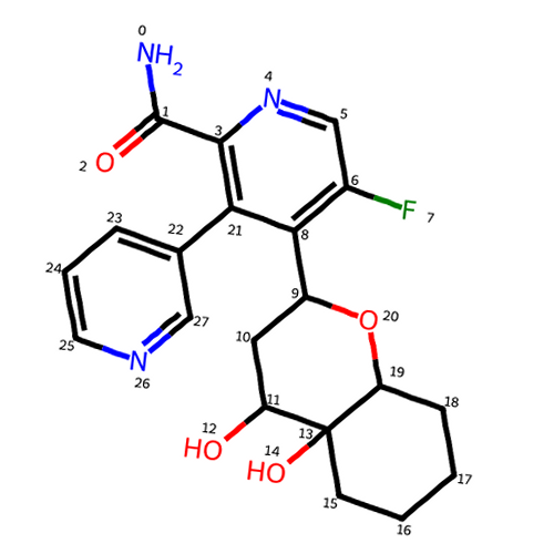 NC(=O)c1ncc(F)c(C2CC(O)C3(O)CCCCC3O2)c1-c1cccnc1